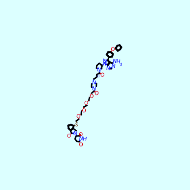 Nc1ncnc2c1c(-c1ccc(Oc3ccccc3)cc1)nn2[C@@H]1CCCN(C(=O)/C=C/CN2CCN(C(=O)COCCOCCOCCOCCSc3cccc4c3CN(C3CCC(=O)NC3=O)C4=O)CC2)C1